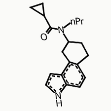 CCCN(C(=O)C1CC1)C1CCc2ccc3[nH]ccc3c2C1